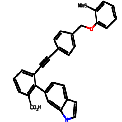 CSc1ccccc1OCc1ccc(C#Cc2cccc(C(=O)O)c2-c2ccc3cc[nH]c3c2)cc1